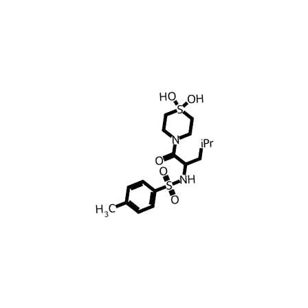 Cc1ccc(S(=O)(=O)NC(CC(C)C)C(=O)N2CCS(O)(O)CC2)cc1